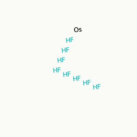 F.F.F.F.F.F.F.F.[Os]